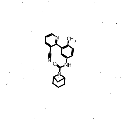 Cc1ccc(NC(=O)N2C3CCCC2C3)cc1-c1ncccc1C#N